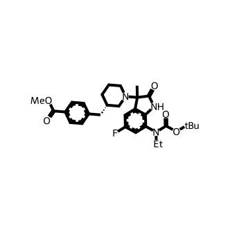 CCN(C(=O)OC(C)(C)C)c1cc(F)cc2c1NC(=O)C2(C)N1CCC[C@@H](Cc2ccc(C(=O)OC)cc2)C1